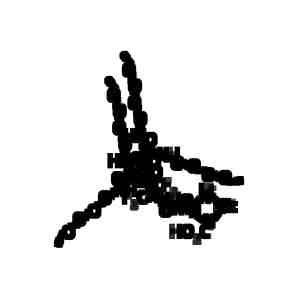 C#CCOCCOCCOCCOCCNC(=O)CN(CC(=O)NCCOCCOCCOCCOCC#C)C(=O)CN(CC(=O)N(CC(=O)NCCOCCOCCOCCOCC#C)CC(=O)NCCOCCOCCOCCOCC#C)C(=O)COCC(CNC(=O)CNC(=O)CN1CCN(CC)CCN(CC)CCN(CC(=O)O)CC1)(CC(F)(F)F)CC(F)(F)F